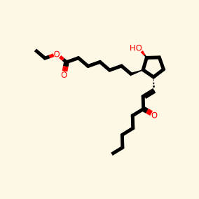 CCCCCC(=O)C=C[C@H]1CC[C@H](O)[C@@H]1CCCCCCC(=O)OCC